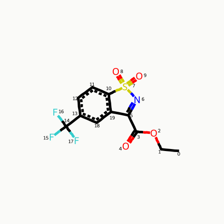 CCOC(=O)C1=NS(=O)(=O)c2ccc(C(F)(F)F)cc21